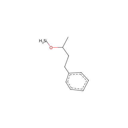 CC(CCc1ccccc1)O[SiH3]